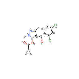 Cc1nn(C)c(OC(=O)C2CC2)c1C(=O)c1ccc(Cl)cc1Cl